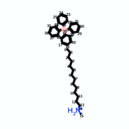 CCCCCCCCCCCCCC[NH2+]C.c1ccc([B-](c2ccccc2)(c2ccccc2)c2ccccc2)cc1